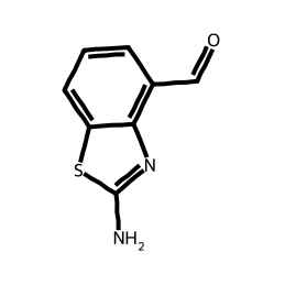 Nc1nc2c(C=O)cccc2s1